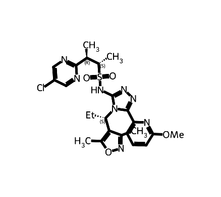 CC[C@@H](c1c(C)noc1C)n1c(NS(=O)(=O)[C@@H](C)[C@H](C)c2ncc(Cl)cn2)nnc1-c1cccc(OC)n1